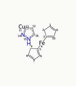 C1=CC[C]([Fe][C]2=CC=CC2)=C1.[Cu].c1cn[nH]c1